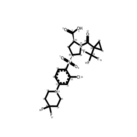 O=C(O)[C@@H]1C[C@@H](S(=O)(=O)c2ccc(N3CCC(F)(F)CC3)cc2Cl)CN1C(=O)C1(C(F)(F)F)CC1